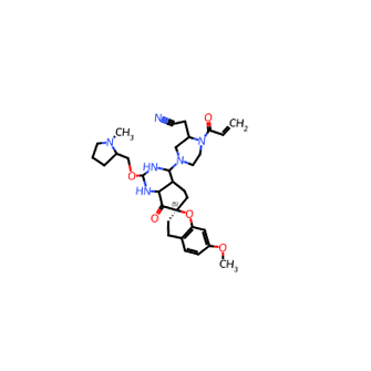 C=CC(=O)N1CCN(C2NC(OCC3CCCN3C)NC3C(=O)[C@@]4(CCc5ccc(OC)cc5O4)CCC32)CC1CC#N